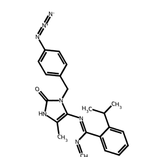 C=N/C(=N\c1c(C)[nH]c(=O)n1Cc1ccc(N=[N+]=[N-])cc1)c1ccccc1C(C)C